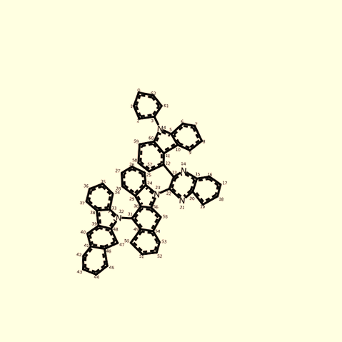 c1ccc(-n2c3ccccc3c3c(-c4nc5ccccc5nc4-n4c5ccccc5c5c(-n6c7ccccc7c7cc8ccccc8cc76)c6ccccc6cc54)cccc32)cc1